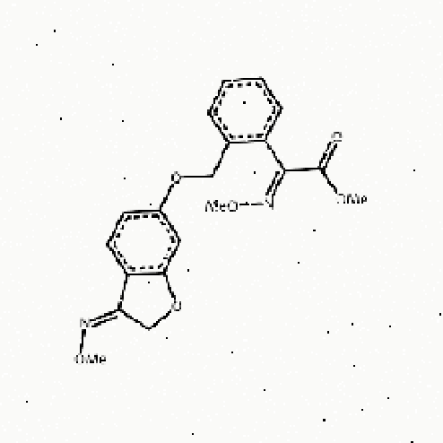 CO/N=C1\COc2cc(OCc3ccccc3/C(=N\OC)C(=O)OC)ccc21